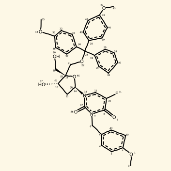 COc1ccc(Cn2c(=O)c(F)cn([C@H]3C[C@H](O)[C@](CO)(COC(c4ccccc4)(c4ccc(OC)cc4)c4ccc(OC)cc4)O3)c2=O)cc1